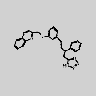 c1ccc(C(CCc2cccc(OCc3ccc4ccccc4n3)c2)Cc2nnn[nH]2)cc1